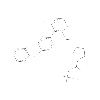 CC(C)(C)OC(=O)N1CC[C@@H](NCc2ncnc(N)c2-c2ccc(Oc3ccccc3)cc2)C1